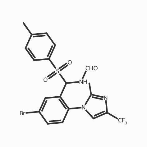 Cc1ccc(S(=O)(=O)C(NC=O)c2cc(Br)ccc2-n2cc(C(F)(F)F)nc2C)cc1